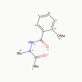 CCCCC(=O)N(NC(=O)c1ccccc1OC)C(C)(C)C